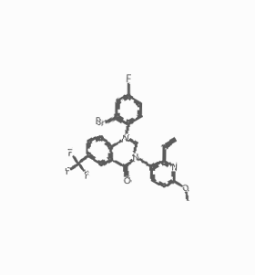 C=Cc1nc(OC)ccc1N1CN(c2ccc(F)cc2Br)c2ccc(C(F)(F)F)cc2C1=O